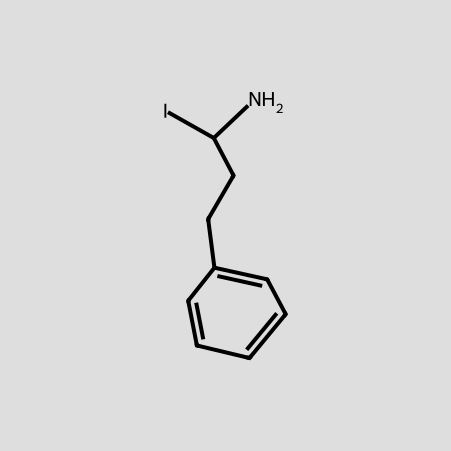 NC(I)CCc1ccccc1